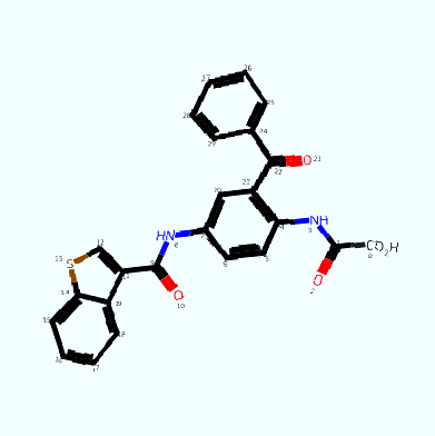 O=C(O)C(=O)Nc1ccc(NC(=O)c2csc3ccccc23)cc1C(=O)c1ccccc1